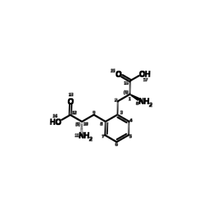 N[C@@H](Cc1ccccc1C[C@H](N)C(=O)O)C(=O)O